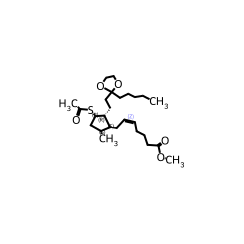 CCCCCC1(CC[C@@H]2[C@@H](C/C=C\CCCC(=O)OC)[C@@H](C)C[C@H]2SC(C)=O)OCCO1